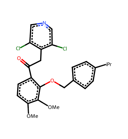 COc1ccc(C(=O)Cc2c(Cl)cncc2Cl)c(OCc2ccc(C(C)C)cc2)c1OC